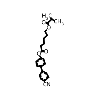 C=C(C)C(=O)OCCCCCC(=O)Oc1ccc(-c2ccc(C#N)cc2)cc1